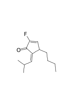 CCCCC1C=C(F)C(=O)C1=CC(C)C